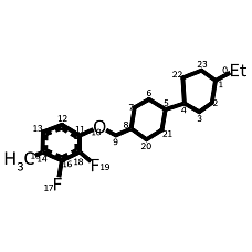 CCC1CCC(C2CCC(COc3ccc(C)c(F)c3F)CC2)CC1